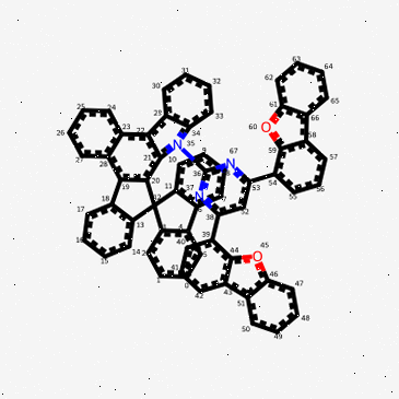 c1ccc2c(c1)-c1ccccc1C21c2ccccc2-c2c1c1c(c3ccccc23)c2ccccc2n1-c1nc(-c2cccc3c2oc2ccccc23)cc(-c2cccc3c2oc2ccccc23)n1